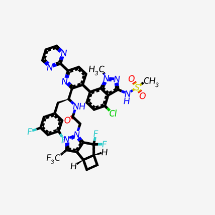 Cn1nc(NS(C)(=O)=O)c2c(Cl)ccc(-c3ccc(-c4ncccn4)nc3[C@H](Cc3cc(F)cc(F)c3)NC(=O)Cn3nc(C(F)(F)F)c4c3C(F)(F)[C@@H]3CC[C@H]43)c21